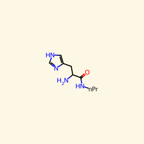 CCCNC(=O)C(N)Cc1c[nH]cn1